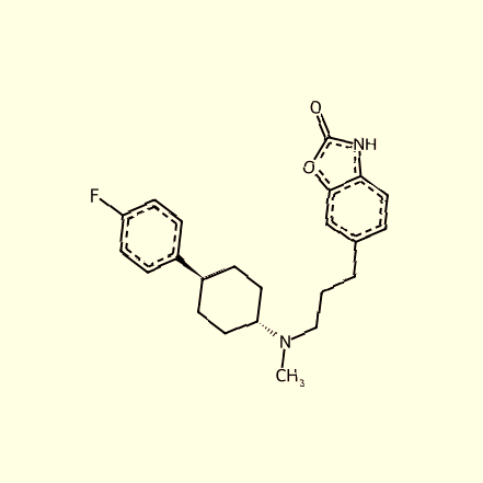 CN(CCCc1ccc2[nH]c(=O)oc2c1)[C@H]1CC[C@H](c2ccc(F)cc2)CC1